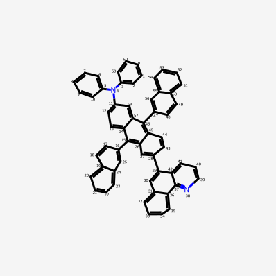 c1ccc(N(c2ccccc2)c2ccc3c(-c4ccc5ccccc5c4)c4cc(-c5cc6ccccc6c6ncccc56)ccc4c(-c4ccc5ccccc5c4)c3c2)cc1